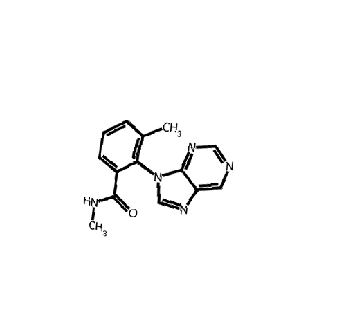 CNC(=O)c1cccc(C)c1-n1cnc2cncnc21